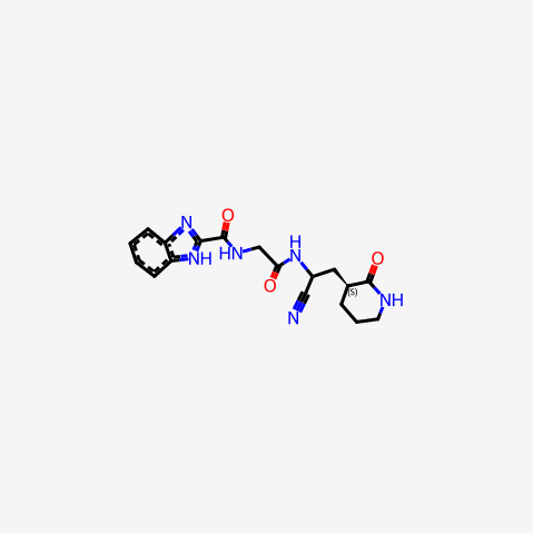 N#CC(C[C@@H]1CCCNC1=O)NC(=O)CNC(=O)c1nc2ccccc2[nH]1